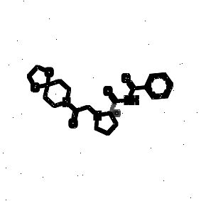 O=C(NC(=O)[C@@H]1CCCN1CC(=O)N1CCC2(CC1)OCCO2)c1ccccc1